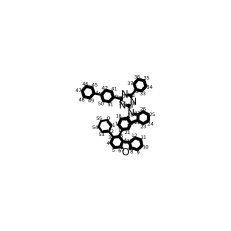 C1=CC(c2ccc3oc4ccccc4c3c2-c2ccc3c(c2)c2ccccc2n3-c2nc(-c3ccccc3)nc(-c3ccc(-c4ccccc4)cc3)n2)=CCC1